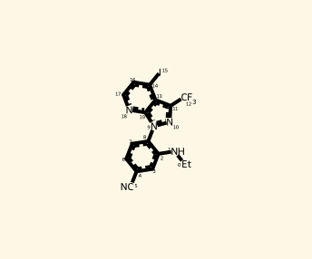 CCNc1cc(C#N)ccc1-n1nc(C(F)(F)F)c2c(I)ccnc21